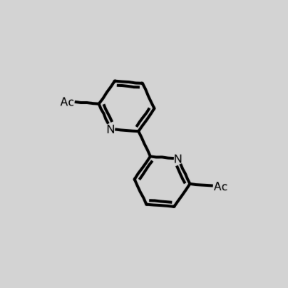 CC(=O)c1cccc(-c2cccc(C(C)=O)n2)n1